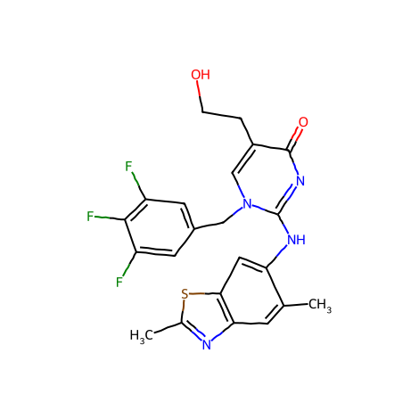 Cc1nc2cc(C)c(Nc3nc(=O)c(CCO)cn3Cc3cc(F)c(F)c(F)c3)cc2s1